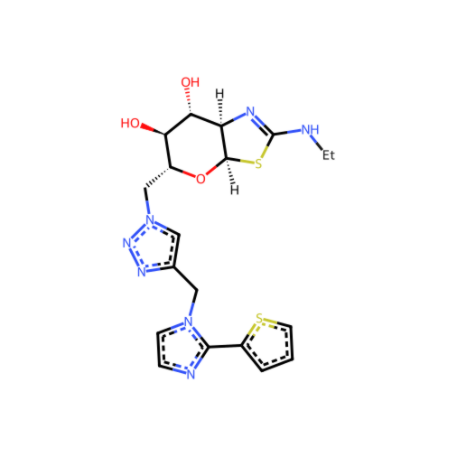 CCNC1=N[C@@H]2[C@@H](O)[C@H](O)[C@@H](Cn3cc(Cn4ccnc4-c4cccs4)nn3)O[C@@H]2S1